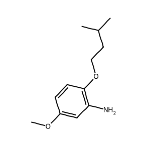 COc1ccc(OCCC(C)C)c(N)c1